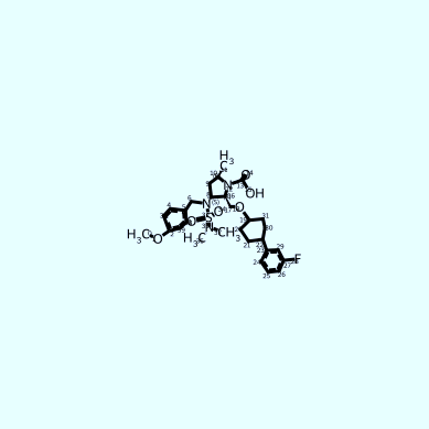 COc1ccc(CN([C@H]2C[C@@H](C)N(C(=O)O)[C@H]2COC2CCC(c3cccc(F)c3)CC2)S(=O)(=O)N(C)C)cc1